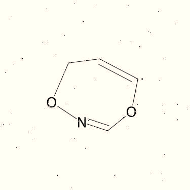 [C]1=CCON=CO1